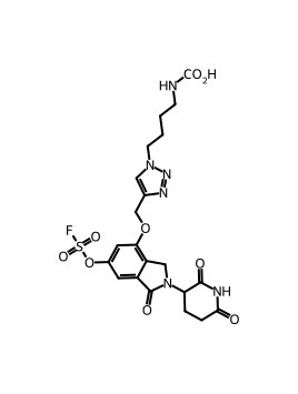 O=C(O)NCCCCn1cc(COc2cc(OS(=O)(=O)F)cc3c2CN(C2CCC(=O)NC2=O)C3=O)nn1